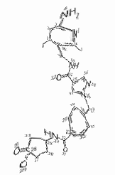 Cc1cc(N)nc(C)c1CNC(=O)c1cnn(Cc2ccc(C(=O)NC3CCS(=O)(=O)C3)cc2)c1